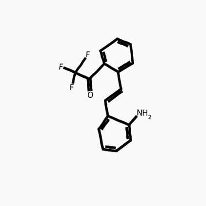 Nc1ccccc1/C=C/c1ccccc1C(=O)C(F)(F)F